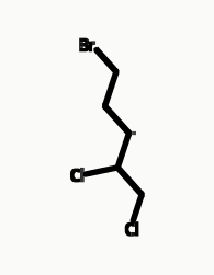 ClCC(Cl)[CH]CCBr